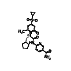 Cc1cc(S(=O)(=O)C2CC2)cc(=O)n1[C@@H](CC1CCCC1)C(=O)Nc1ccc(C(N)=O)cn1